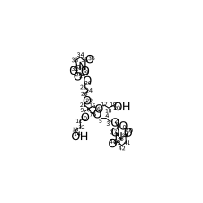 O=C(OCCCOCC(COCCCO)(COCCCO)COCCCOC(=O)ON1C(=O)CCC1=O)ON1C(=O)CCC1=O